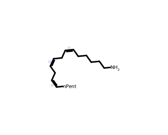 CCCCC/C=C\C/C=C\C/C=C\CCCCCN